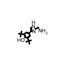 CC(C)(C)c1cc(-c2c[nH]c(CN)n2)cc(C(C)(C)C)c1O